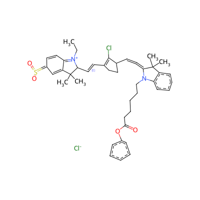 CC[N+]1=C2C=CC(=S(=O)=O)C=C2C(C)(C)C1/C=C/C1=C(Cl)C(C=C=C2N(CCCCCC(=O)Oc3ccccc3)c3ccccc3C2(C)C)CC1.[Cl-]